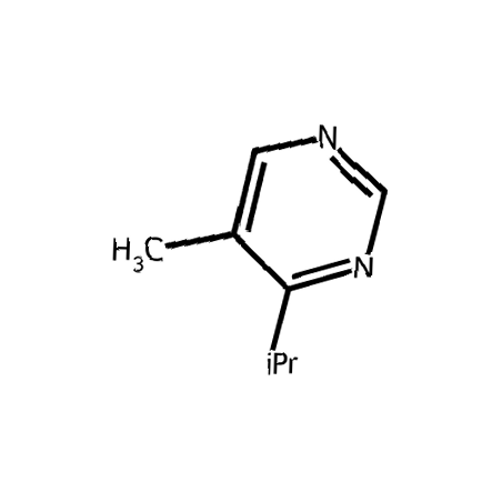 Cc1cncnc1C(C)C